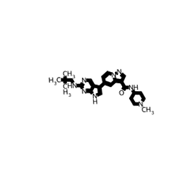 CN1CCC(NC(=O)c2cnn3ccc(-c4c[nH]c5nc(NCC(C)(C)C)ncc45)cc23)CC1